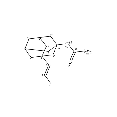 CC=CC12CC3CC(C1)CC(NC(N)=O)(C3)C2